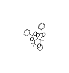 CC1(C)C(OC(=O)c2ccccc2)C(OC(=O)c2ccccc2)C(C)(C)C2C3CCC(O3)C21